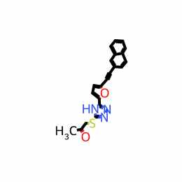 CC(=O)CSc1nnc(-c2ccc(C#Cc3ccc4ccccc4c3)o2)[nH]1